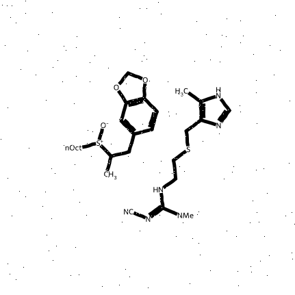 CCCCCCCC[S+]([O-])C(C)Cc1ccc2c(c1)OCO2.CN/C(=N/C#N)NCCSCc1nc[nH]c1C